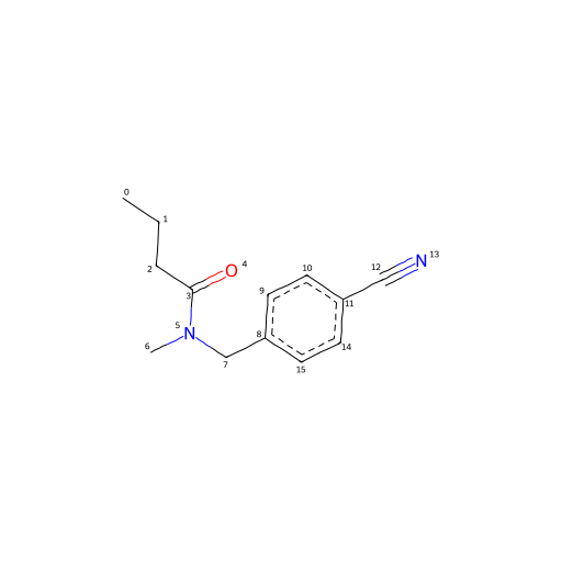 CCCC(=O)N(C)Cc1ccc(C#N)cc1